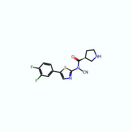 N#CN(C(=O)[C@H]1CCNC1)c1ncc(-c2ccc(F)c(F)c2)s1